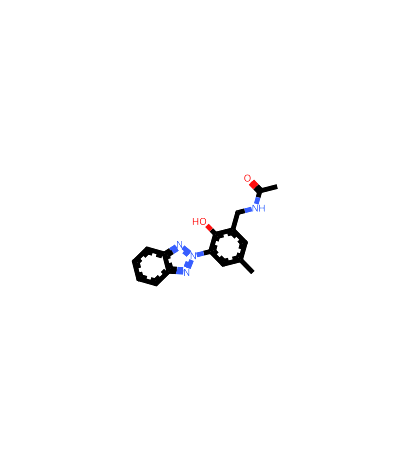 CC(=O)NCc1cc(C)cc(-n2nc3ccccc3n2)c1O